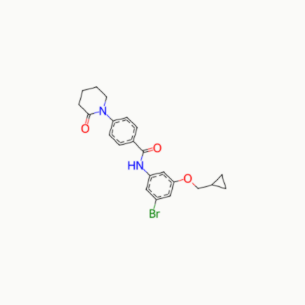 O=C(Nc1cc(Br)cc(OCC2CC2)c1)c1ccc(N2CCCCC2=O)cc1